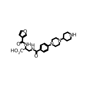 O=C(NC[C@H](NC(=O)c1ccoc1)C(=O)O)c1ccc(N2CCN(C3CCNCC3)CC2)cc1